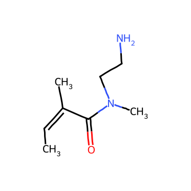 CC=C(C)C(=O)N(C)CCN